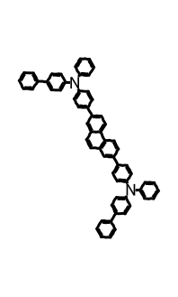 c1ccc(-c2ccc(N(c3ccccc3)c3ccc(-c4ccc5c(ccc6cc(-c7ccc(N(c8ccccc8)c8ccc(-c9ccccc9)cc8)cc7)ccc65)c4)cc3)cc2)cc1